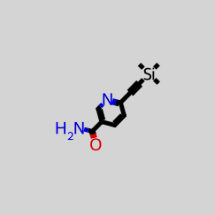 C[Si](C)(C)C#Cc1ccc(C(N)=O)cn1